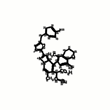 Cc1cn2nc(-c3ncc(Cc4ccc(F)cc4)o3)cc2c(-c2cc(F)c3c(c2C)CCCO3)c1[C@H](OC(C)(C)C)C(=O)O